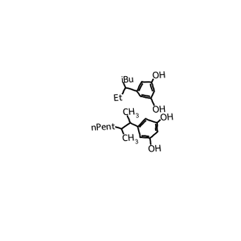 CCC(C)C(CC)c1cc(O)cc(O)c1.CCCCCC(C)C(C)c1cc(O)cc(O)c1